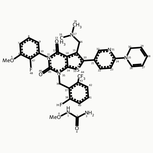 CONC(N)=O.COc1cccc(-n2c(=O)c3c(CN(C)C)c(-c4ccc(N5C=CC=CC5)nc4)sc3n(Cc3c(F)cccc3C(F)(F)F)c2=O)c1F